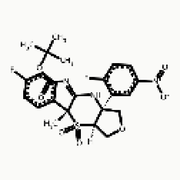 CC(C)(C)OC(=O)/N=C1/N[C@@]2(c3cc([N+](=O)[O-])ccc3F)COC[C@H]2S(=O)(=O)[C@]1(C)c1ccc(F)cc1